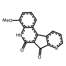 COc1cccc2c3c(c(=O)[nH]c12)C(=O)c1ncccc1-3